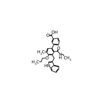 CCCOc1c(C)cc(-c2cccc(C(=O)O)c2)c(C(=O)NCC)c1Cc1c[nH]c2ccccc12